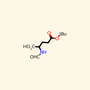 CC(C)(C)OC(=O)CCC(NC=O)C(=O)O